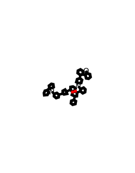 c1ccc(-c2cccc(-c3ccccc3N(c3ccc(-c4ccc(-c5cccc(-n6c7ccccc7c7ccccc76)c5)cc4)cc3)c3ccc(-c4cccc5oc6ccccc6c45)cc3)c2)cc1